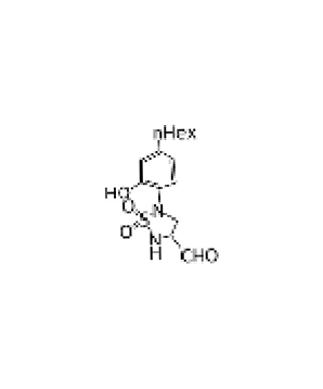 CCCCCCc1ccc(N2CC(C=O)NS2(=O)=O)c(O)c1